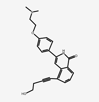 CN(C)CCOc1ccc(-c2cc3c(C#CCCO)cccc3c(=O)[nH]2)cc1